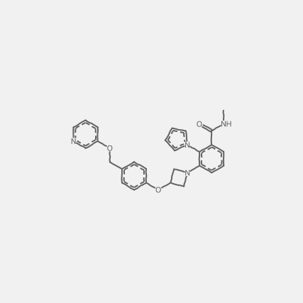 CNC(=O)c1cccc(N2CC(Oc3ccc(COc4cccnc4)cc3)C2)c1-n1cccc1